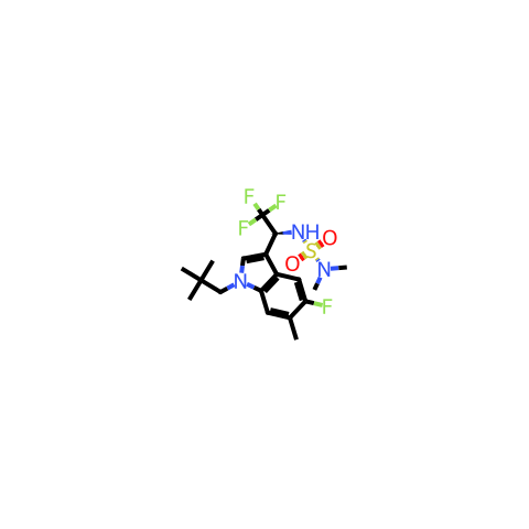 Cc1cc2c(cc1F)c([C@H](NS(=O)(=O)N(C)C)C(F)(F)F)cn2CC(C)(C)C